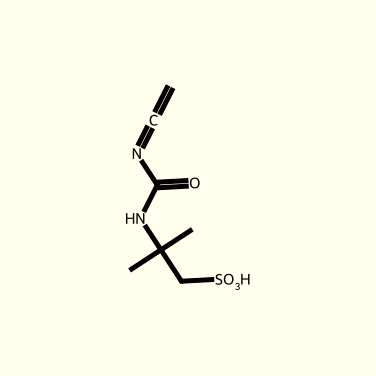 C=C=NC(=O)NC(C)(C)CS(=O)(=O)O